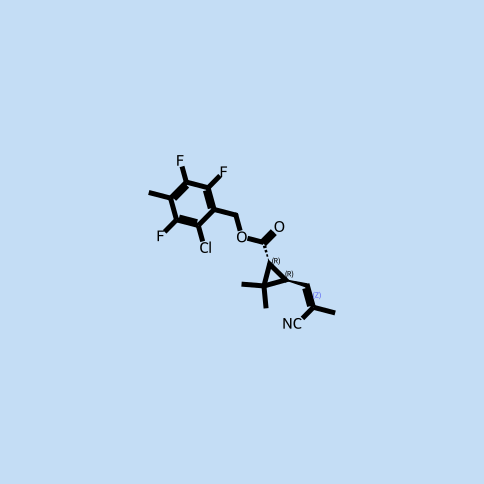 C/C(C#N)=C/[C@@H]1[C@@H](C(=O)OCc2c(F)c(F)c(C)c(F)c2Cl)C1(C)C